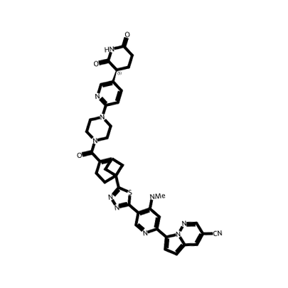 CNc1cc(-c2ccc3cc(C#N)cnn23)ncc1-c1nnc(C23CCC(C(=O)N4CCN(c5ccc([C@@H]6CCC(=O)NC6=O)cn5)CC4)=C(C2)C3)s1